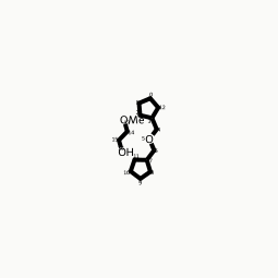 C1CCC(COCC2CCCC2)C1.COCCO